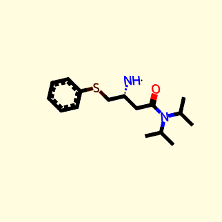 CC(C)N(C(=O)C[C@@H]([NH])CSc1ccccc1)C(C)C